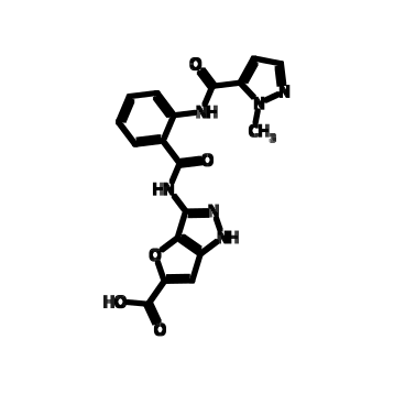 Cn1nccc1C(=O)Nc1ccccc1C(=O)Nc1n[nH]c2cc(C(=O)O)oc12